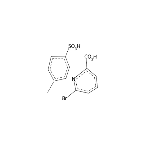 Cc1ccc(S(=O)(=O)O)cc1.O=C(O)c1cccc(Br)n1